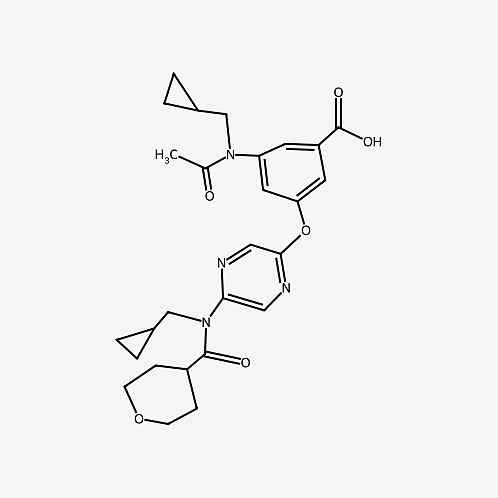 CC(=O)N(CC1CC1)c1cc(Oc2cnc(N(CC3CC3)C(=O)C3CCOCC3)cn2)cc(C(=O)O)c1